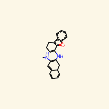 CNC1=C(NC2=CCCc3c2oc2ccccc32)CC2C=CC=CC2=C1